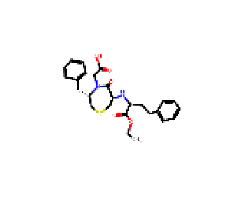 CCOC(=O)[C@H](CCc1ccccc1)N[C@H]1CSC[C@H](Cc2ccccc2)N(CC(=O)O)C1=O